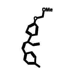 C=CC(/C=C\c1ccc(C)cc1)c1ccc(OCOC)cc1